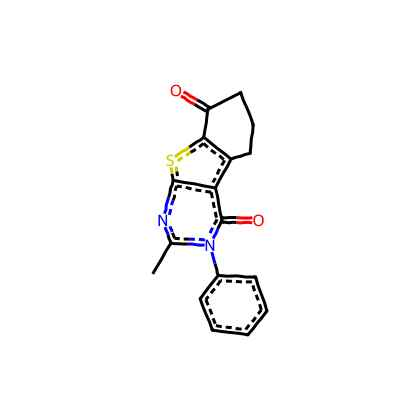 Cc1nc2sc3c(c2c(=O)n1-c1ccccc1)CCCC3=O